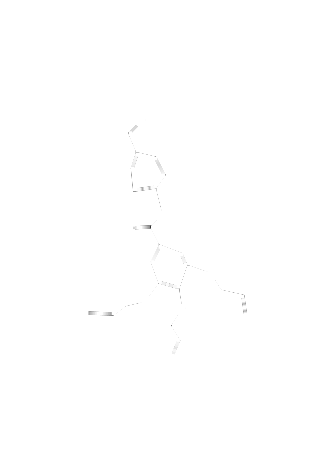 C=CCOc1cc(C(=O)Oc2ccc(C=O)cc2)cc(OCC=C)c1OCC=C